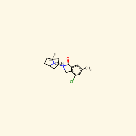 Cc1cc(Cl)c2c(c1)C(=O)N(C1CC3CC[C@@H](C1)N3C(=O)O)C2